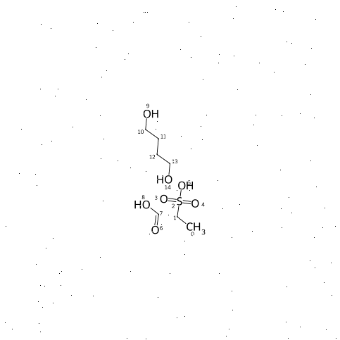 CCS(=O)(=O)O.O=CO.OCCCCO